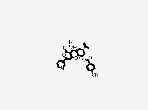 C=C(C)[C@@H]1C[C@H](OC(=O)c2ccc(C#N)cc2)[C@@]2(C)Oc3cc(-c4cccnc4)oc(=O)c3[C@@H](O)[C@@H]2C1